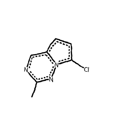 Cc1ncc2ccc(Cl)n2n1